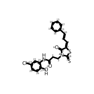 O=C(CCN1C(=O)/C(=C\C=C\c2ccccc2)SC1=S)Nc1cc(Cl)ccc1O